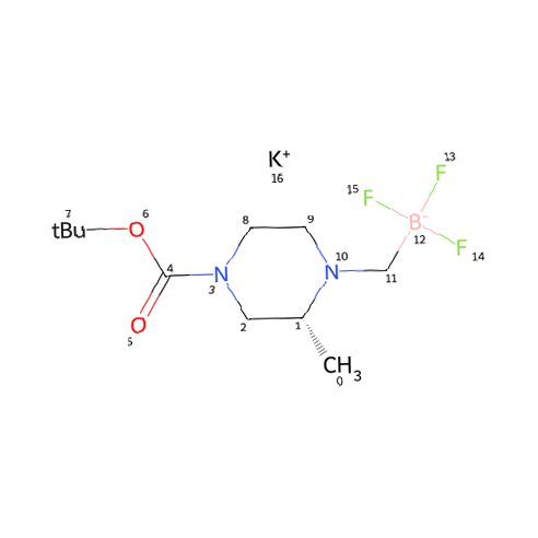 C[C@@H]1CN(C(=O)OC(C)(C)C)CCN1C[B-](F)(F)F.[K+]